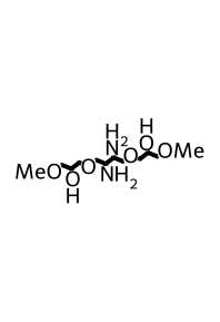 COCC(O)COCC(N)C(N)COCC(O)COC